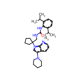 CC(C)c1cccc(C(C)C)c1NC(=O)NCC1(n2cc(N3CCCCC3)c3cccnc32)CCCC1